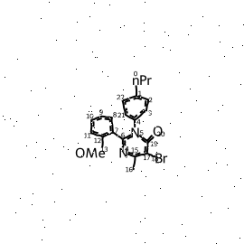 CCCc1ccc(-n2c(-c3ccccc3OC)nc(C)c(Br)c2=O)cc1